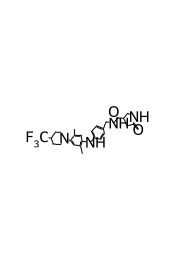 Cc1cc(N2CCC(C(F)(F)F)CC2)c(C)cc1Nc1ccc(CNC(=O)C2CNC(=O)C2)cc1